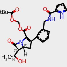 C[C@@H](O)[C@H]1C(=O)N2C(C(=O)OCOC(=O)C(C)(C)C)=C(c3cccc(CNC(=O)c4ccc[nH]4)c3)C[C@H]12